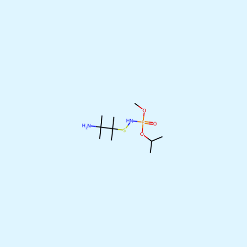 COP(=O)(NSC(C)(C)C(C)(C)N)OC(C)C